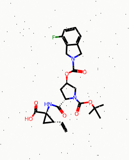 C=C[C@@H]1C[C@]1(NC(=O)[C@@H]1C[C@@H](OC(=O)N2Cc3cccc(F)c3C2)CN1C(=O)OC(C)(C)C)C(=O)O